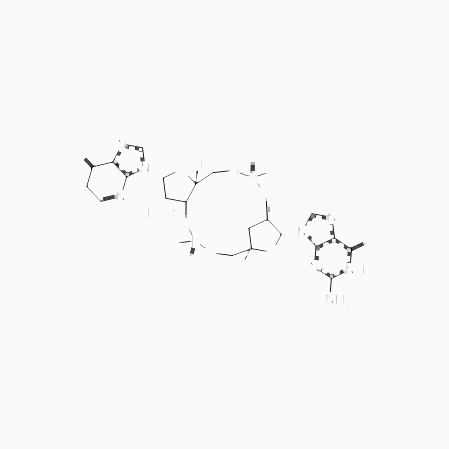 Nc1nc2c(ncn2[C@@H]2O[C@@H]3COP(=O)(O)O[C@H]4[C@H](F)[C@H](n5cnc6c5N=CCC6=O)O[C@@H]4COP(=O)(O)O[C@@H]2C3)c(=O)[nH]1